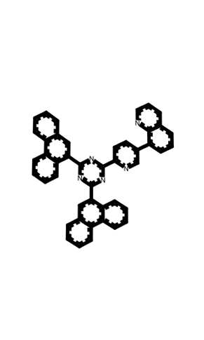 c1cnc2c(-c3ccc(-c4nc(-c5cc6ccccc6c6ccccc56)nc(-c5cc6ccccc6c6ccccc56)n4)nc3)cccc2c1